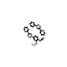 COc1cc(-n2nnc(-c3ccccn3)n2)ccc1CC#N.c1ccc(-n2nnc(-c3ccccn3)n2)cc1